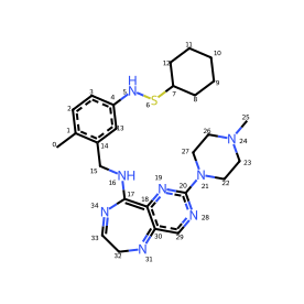 Cc1ccc(NSC2CCCCC2)cc1CNC1=c2nc(N3CCN(C)CC3)ncc2=NCC=N1